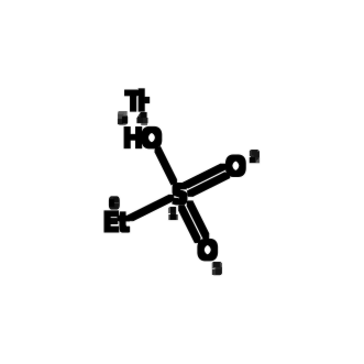 CCS(=O)(=O)O.[Tl]